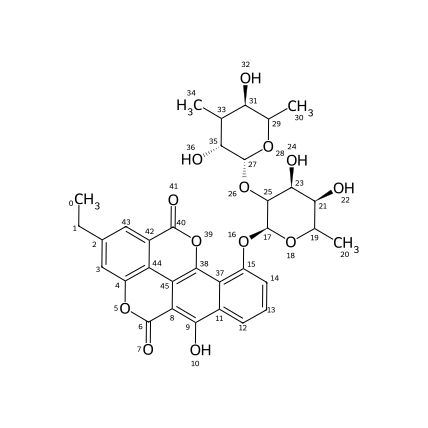 CCc1cc2oc(=O)c3c(O)c4cccc(O[C@@H]5OC(C)[C@H](O)[C@H](O)C5O[C@H]5OC(C)[C@H](O)C(C)[C@H]5O)c4c4oc(=O)c(c1)c2c34